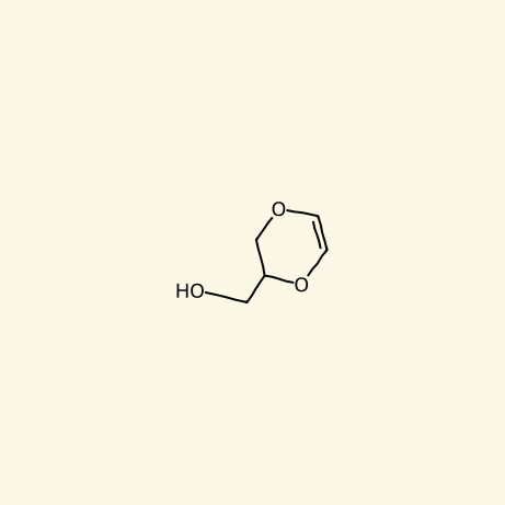 OCC1COC=CO1